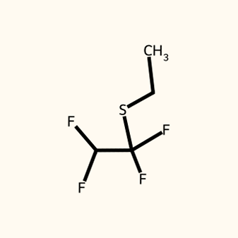 CCSC(F)(F)[C](F)F